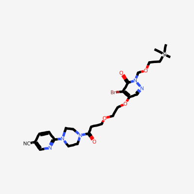 C[Si](C)(C)CCOCn1ncc(OCCOCCC(=O)N2CCN(c3ccc(C#N)cn3)CC2)c(Br)c1=O